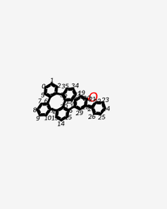 c1ccc2c(c1)-c1ccccc1-c1cccc(-c3ccc4oc5ccccc5c4c3)c1-c1ccccc1-2